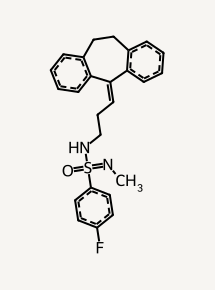 CN=S(=O)(NCCC=C1c2ccccc2CCc2ccccc21)c1ccc(F)cc1